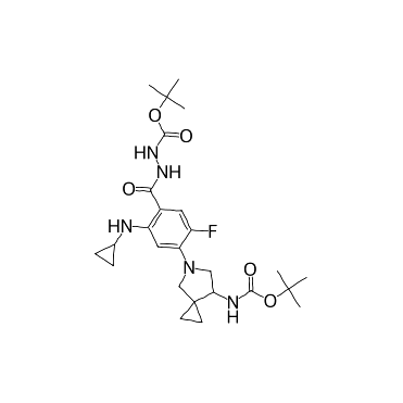 CC(C)(C)OC(=O)NNC(=O)c1cc(F)c(N2CC(NC(=O)OC(C)(C)C)C3(CC3)C2)cc1NC1CC1